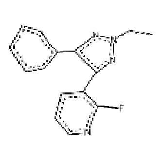 CCn1nc(-c2ccccc2)c(-c2cccnc2F)n1